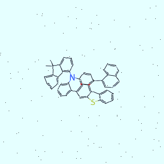 CC1(C)c2ccccc2-c2c(N(c3ccc(-c4cccc5ccccc45)cc3)c3ccccc3-c3ccc4c(c3)sc3ccccc34)cccc21